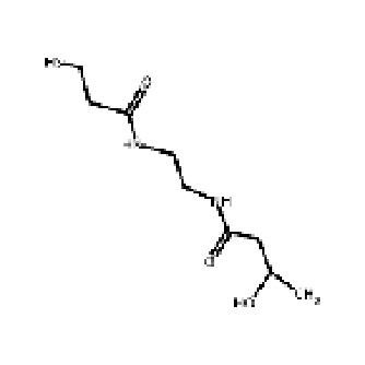 CC(O)CC(=O)NCCNC(=O)CCS